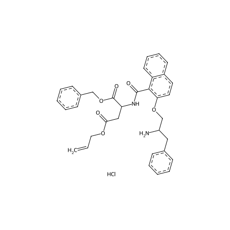 C=CCOC(=O)CC(NC(=O)c1c(OCC(N)Cc2ccccc2)ccc2ccccc12)C(=O)OCc1ccccc1.Cl